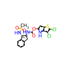 CS(=O)(=O)N[C@H]1c2ccccc2C[C@@H]1NC(=O)Oc1cc2sc(Cl)c(Cl)c2[nH]1